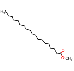 [CH2]OC(=O)CCCCCCCCCCCCCCCCCC